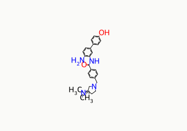 CN(C)[C@@H]1CCN(Cc2ccc(C(=O)Nc3cc(-c4ccc(O)cc4)ccc3N)cc2)C1